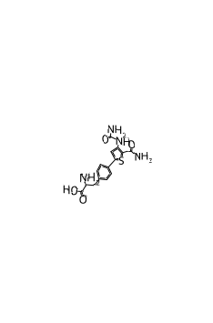 NC(=O)Nc1cc(-c2ccc(C[C@H](N)C(=O)O)cc2)sc1C(N)=O